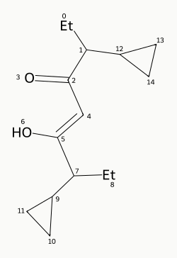 CCC(C(=O)/C=C(\O)C(CC)C1CC1)C1CC1